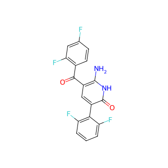 Nc1[nH]c(=O)c(-c2c(F)cccc2F)cc1C(=O)c1ccc(F)cc1F